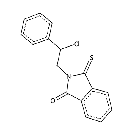 O=C1c2ccccc2C(=S)N1CC(Cl)c1ccccc1